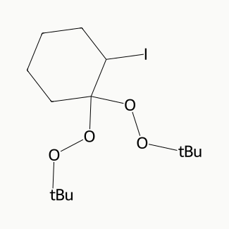 CC(C)(C)OOC1(OOC(C)(C)C)CCCCC1I